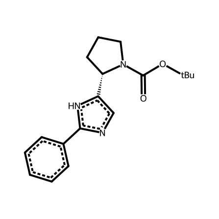 CC(C)(C)OC(=O)N1CCC[C@H]1c1cnc(-c2ccccc2)[nH]1